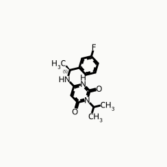 CC(C)n1c(=O)cc(N[C@@H](C)c2cccc(F)c2)[nH]c1=O